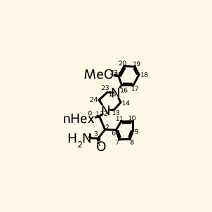 CCCCCCC(C(C(N)=O)c1ccccc1)N1CCN(c2ccccc2OC)CC1